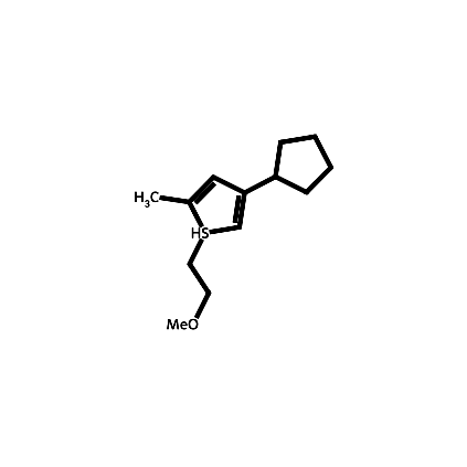 COCC[SH]1C=C(C2CCCC2)C=C1C